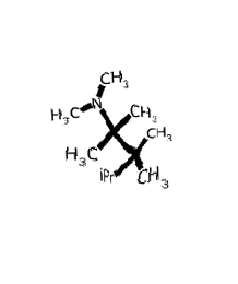 CC(C)C(C)(C)C(C)(C)N(C)C